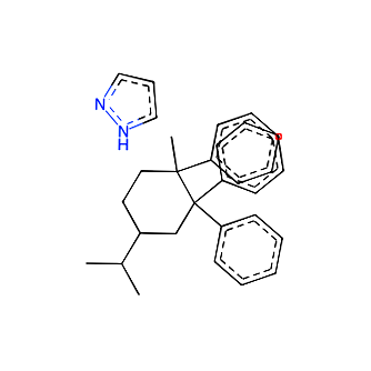 CC(C)C1CCC(C)(c2ccccc2)C(c2ccccc2)(c2ccccc2)C1.c1cn[nH]c1